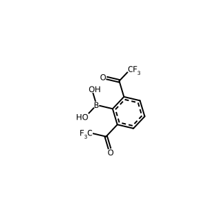 O=C(c1cccc(C(=O)C(F)(F)F)c1B(O)O)C(F)(F)F